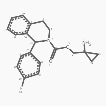 NC1(COC(=O)N2CCc3ccccc3C2c2ccc(F)cc2)CC1